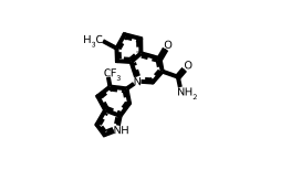 Cc1ccc2c(=O)c(C(N)=O)cn(-c3cc4[nH]ccc4cc3C(F)(F)F)c2c1